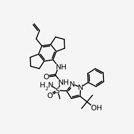 C=CCc1c2c(c(NC(=O)NS(C)(N)(=O)c3cc(C(C)(C)O)n(-c4ccccc4)n3)c3c1CCC3)CCC2